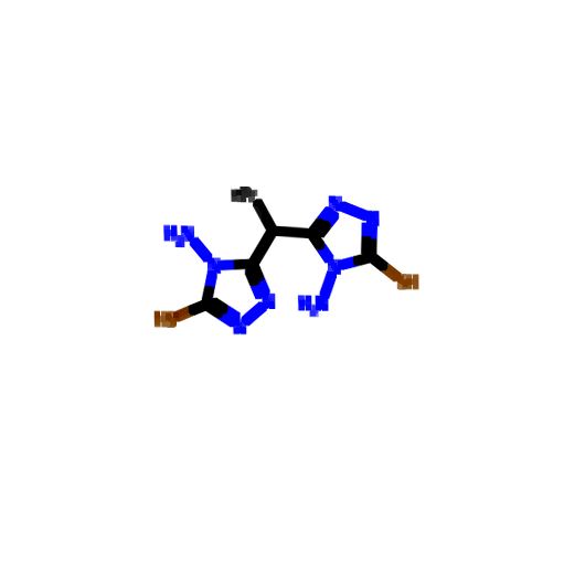 CCCC(c1nnc(S)n1N)c1nnc(S)n1N